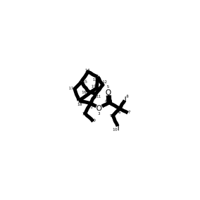 CCC1(OC(=O)C(C)(I)CI)C2CC3CC(C2)CC1C3